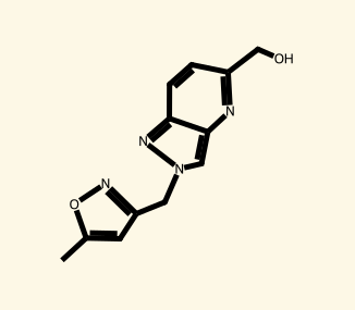 Cc1cc(Cn2cc3nc(CO)ccc3n2)no1